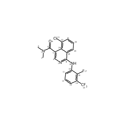 CN(C)C(=O)c1cnc(Nc2cccc(C(F)(F)F)c2F)c2cccc(Cl)c12